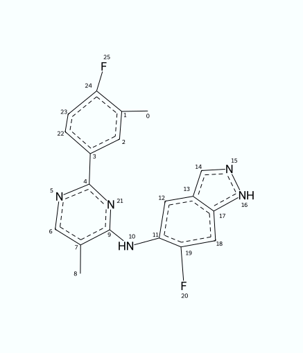 Cc1cc(-c2ncc(C)c(Nc3cc4cn[nH]c4cc3F)n2)ccc1F